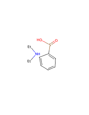 CCNCC.O=S(O)c1ccccc1